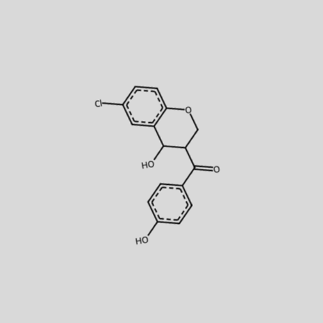 O=C(c1ccc(O)cc1)C1COc2ccc(Cl)cc2C1O